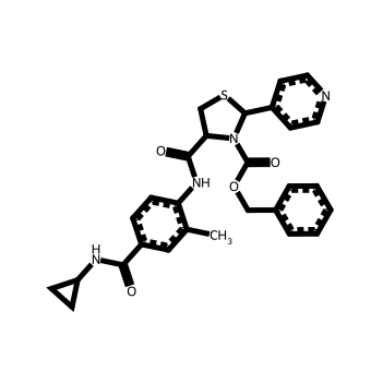 Cc1cc(C(=O)NC2CC2)ccc1NC(=O)C1CSC(c2ccncc2)N1C(=O)OCc1ccccc1